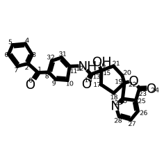 O=C(c1ccccc1)c1ccc(NC(=O)C2(O)CCC3(CC2)OC(=O)c2cccnc23)cc1